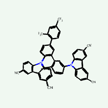 N#Cc1ccc2c(c1)c1cc(C#N)ccc1n2-c1ccc(C#N)c(-c2cc(-c3ccc(C(F)(F)F)cc3C(F)(F)F)ccc2-n2c3ccc(C#N)cc3c3cc(C#N)ccc32)c1